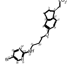 O=C(O)C[C@@H]1CCc2cc(OCCCNc3ncc(Br)cn3)ccc21